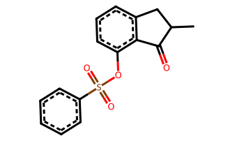 CC1Cc2cccc(OS(=O)(=O)c3ccccc3)c2C1=O